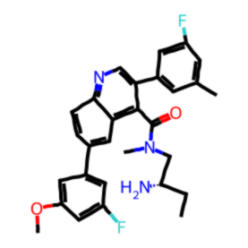 CC[C@H](N)CN(C)C(=O)c1c(-c2cc(C)cc(F)c2)cnc2ccc(-c3cc(F)cc(OC)c3)cc12